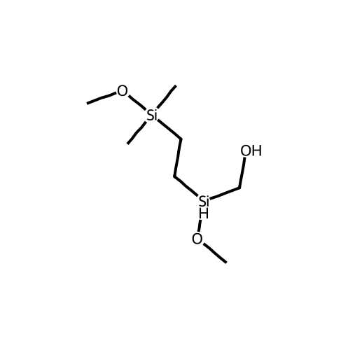 CO[SiH](CO)CC[Si](C)(C)OC